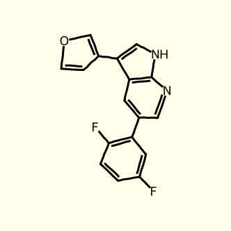 Fc1ccc(F)c(-c2cnc3[nH]cc(-c4ccoc4)c3c2)c1